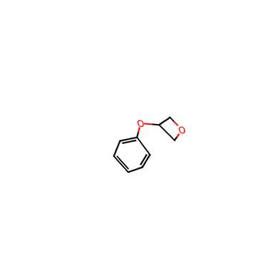 c1ccc(OC2COC2)cc1